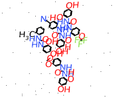 Cc1ccccc1NC(=O)Nc1ccc(O)cc1O.N#Cc1ccc(NC(=O)Nc2ccc(O)cc2O)cc1.O=C(Nc1ccc(OC(F)(F)F)cc1)Nc1ccc(O)cc1O.O=C(Nc1ccc2c(c1)OCO2)Nc1ccc(O)cc1O